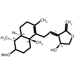 C=C1OC[C@@H](O)/C1=C\CC1=C(C)CC[C@@H]2[C@@H](C)C(OC)CC[C@@]12C